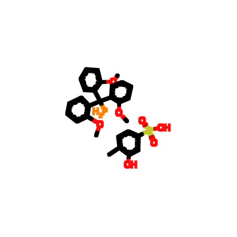 COc1ccccc1C(P)(c1ccccc1OC)c1ccccc1OC.Cc1ccc(S(=O)(=O)O)cc1O